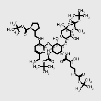 CN(C(=O)OC(C)(C)C)[C@@H]1[C@@H](O)[C@@H](O[C@@H]2[C@@H](O)[C@H](O[C@H]3OC(CN)=CC[C@H]3NCC3CCCN3C(=O)OC(C)(C)C)[C@@H](NC(=O)OC(C)(C)C)C[C@H]2NC(=O)[C@@H](O)CCNC(=O)OC(C)(C)C)OC[C@]1(C)O